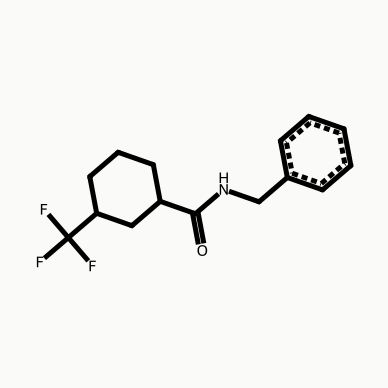 O=C(NCc1ccccc1)C1CCCC(C(F)(F)F)C1